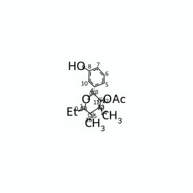 CC[C@H]1O[C@H](c2cccc(O)c2)[C@@H](OC(C)=O)[C@@H](C)[C@@H]1C